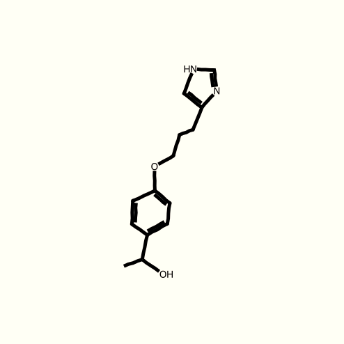 CC(O)c1ccc(OCCCc2c[nH]cn2)cc1